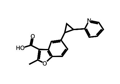 Cc1oc2ccc(C3CC3c3ccccn3)cc2c1C(=O)O